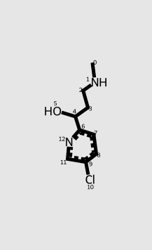 CNCCC(O)c1ccc(Cl)cn1